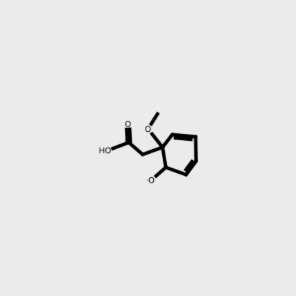 COC1(CC(=O)O)C=CC=CC1[O]